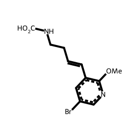 COc1ncc(Br)cc1C=CCCNC(=O)O